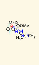 COc1ccc(Cn2c(=O)c(-c3c(F)cccc3F)cc3cnc(Nc4ccc(N(C)C5CCN(C)CC5)cn4)cc32)c(OC)c1